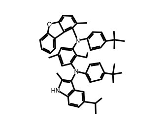 CCc1c(N(c2ccc(C(C)(C)C)cc2)c2c(C)[nH]c3ccc(C(C)C)cc23)cc(C)cc1N(c1ccc(C(C)(C)C)cc1)c1c(C)ccc2oc3ccccc3c12